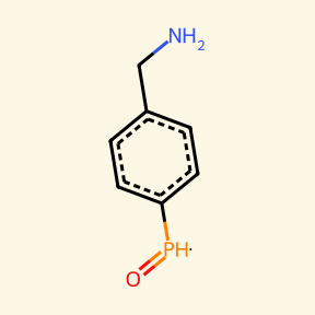 NCc1ccc([PH]=O)cc1